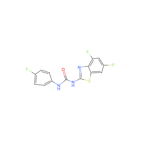 O=C(Nc1ccc(F)cc1)Nc1nc2c(F)cc(F)cc2s1